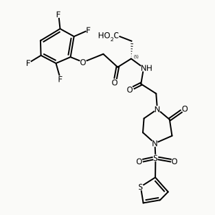 O=C(O)C[C@H](NC(=O)CN1CCN(S(=O)(=O)c2cccs2)CC1=O)C(=O)COc1c(F)c(F)cc(F)c1F